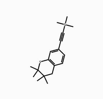 CC1(C)Cc2ccc(C#C[Si](C)(C)C)cc2SC1(C)C